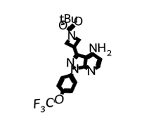 CC(C)(C)OC(=O)N1CC(c2nn(-c3ccc(OC(F)(F)F)cc3)c3nccc(N)c23)C1